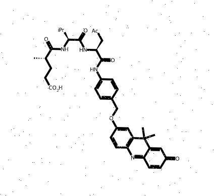 CC(=O)C[C@H](NC(=O)[C@@H](NC(=O)[C@@H](C)CCC(=O)O)C(C)C)C(=O)Nc1ccc(COc2ccc3c(c2)C(C)(C)C2=CC(=O)C=CC2=N3)cc1